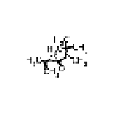 CC(C)OC(=O)N(C)C(C)(C)C